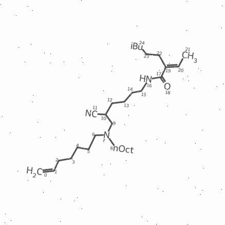 C=CCCCCCN(CCCCCCCC)CC(C#N)CCCCNC(=O)/C(=C/C)CCC(C)CC